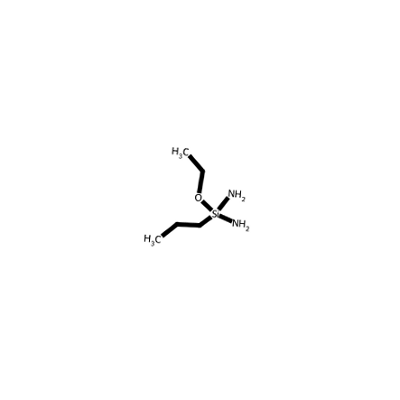 CCC[Si](N)(N)OCC